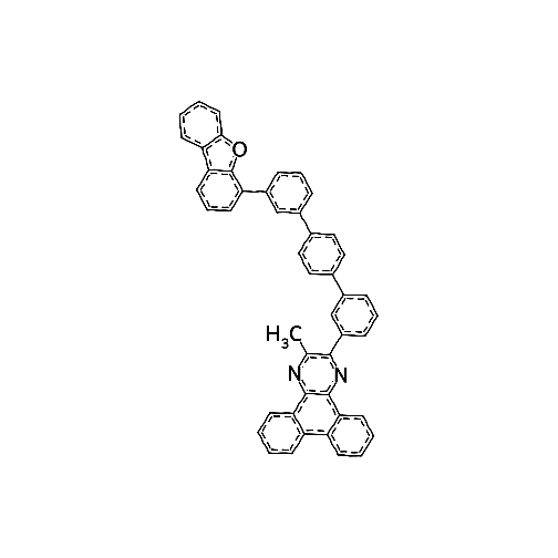 Cc1nc2c3ccccc3c3ccccc3c2nc1-c1cccc(-c2ccc(-c3cccc(-c4cccc5c4oc4ccccc45)c3)cc2)c1